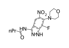 CCCC(=O)Nc1n[nH]c2c(F)c(N3CCOCC3)c([N+](=O)[O-])cc12